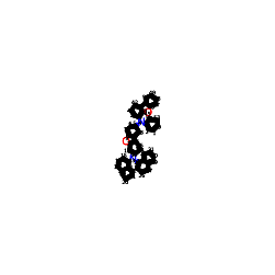 c1ccc(N(c2ccc3oc4cc(N(c5cccc6ccccc56)c5cccc6ccccc56)ccc4c3c2)c2cccc3c2oc2ccccc23)cc1